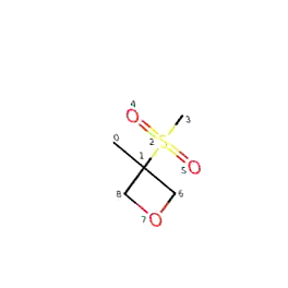 CC1(S(C)(=O)=O)COC1